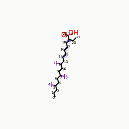 CCCC(I)CCC(I)CCC(I)C/C=C/C=C/C=C(\CC)C(=O)O